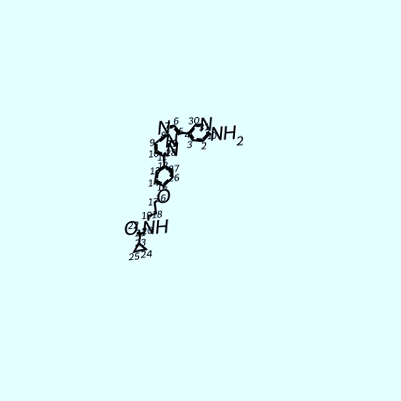 Nc1ccc(-c2cnc3ccc(-c4ccc(OCCCNC(=O)C5CC5)cc4)nn23)cn1